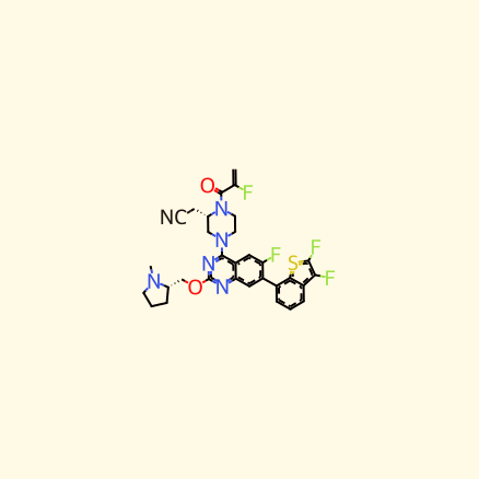 C=C(F)C(=O)N1CCN(c2nc(OC[C@@H]3CCCN3C)nc3cc(-c4cccc5c(F)c(F)sc45)c(F)cc23)C[C@@H]1CC#N